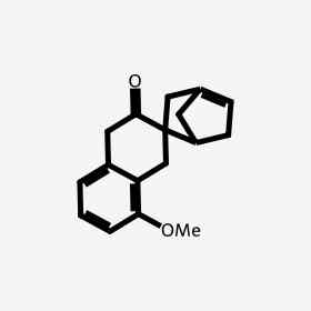 COc1cccc2c1CC1(CC3=CCC1C3)C(=O)C2